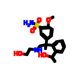 COc1ccc(C(C)(CNCCO)c2ccccc2C(C)O)cc1S(N)(=O)=O